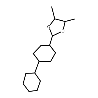 CC1OC(C2CCC(C3CCCCC3)CC2)OC1C